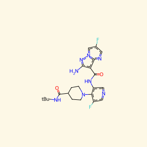 CC(C)(C)NC(=O)C1CCN(c2c(F)cncc2NC(=O)c2c(N)nn3cc(F)cnc23)CC1